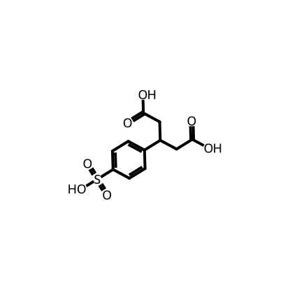 O=C(O)CC(CC(=O)O)c1ccc(S(=O)(=O)O)cc1